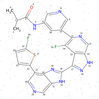 CC(C)C(=O)Nc1cncc(-c2ncc3[nH]nc(-c4nc5c(-c6ccc(F)s6)cncc5[nH]4)c3c2F)c1